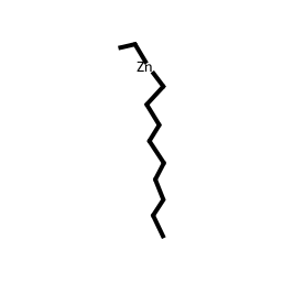 CCCCCCCC[CH2][Zn][CH2]C